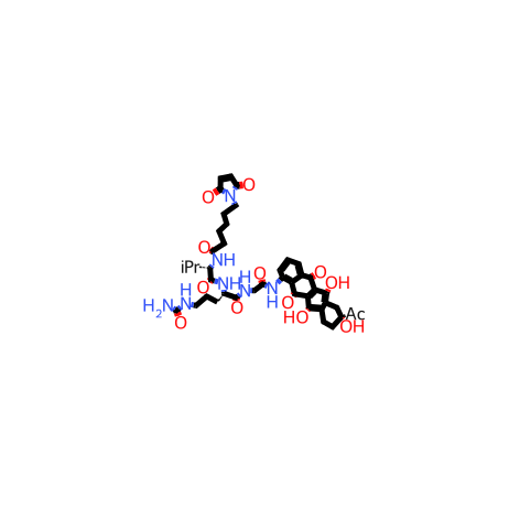 CC(=O)[C@@]1(O)CCc2c(O)c3c(c(O)c2C1)C(=O)c1cccc(NC(=O)CNC(=O)[C@H](CCCNC(N)=O)NC(=O)[C@@H](NC(=O)CCCCCN2C(=O)C=CC2=O)C(C)C)c1C3=O